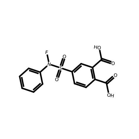 O=C(O)c1ccc(S(=O)(=O)N(F)c2ccccc2)cc1C(=O)O